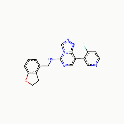 Fc1ccncc1-c1cnc(NCc2cccc3c2CCO3)n2cnnc12